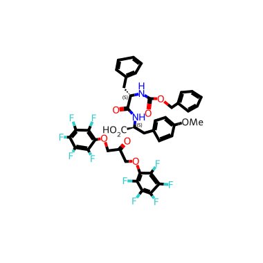 COc1ccc(C[C@H](NC(=O)[C@H](Cc2ccccc2)NC(=O)OCc2ccccc2)C(=O)O)cc1.O=C(COc1c(F)c(F)c(F)c(F)c1F)COc1c(F)c(F)c(F)c(F)c1F